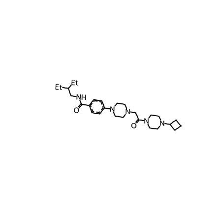 CCC(CC)CNC(=O)c1ccc(N2CCN(CC(=O)N3CCN(C4CCC4)CC3)CC2)cc1